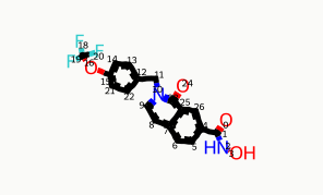 O=C(NO)c1ccc2ccn(Cc3ccc(OC(F)(F)F)cc3)c(=O)c2c1